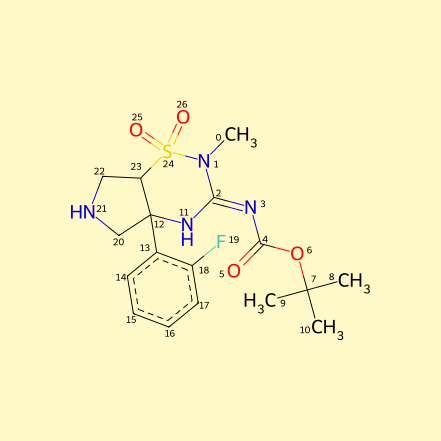 CN1/C(=N/C(=O)OC(C)(C)C)NC2(c3ccccc3F)CNCC2S1(=O)=O